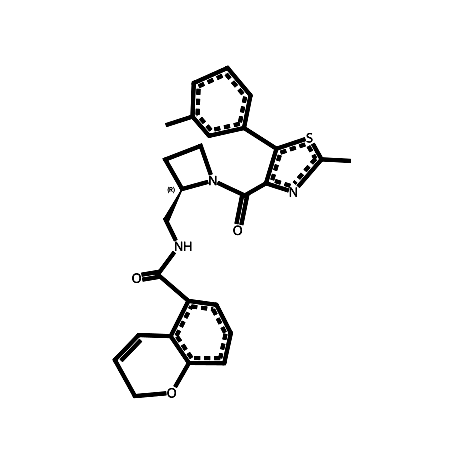 Cc1cccc(-c2sc(C)nc2C(=O)N2CC[C@@H]2CNC(=O)c2cccc3c2C=CCO3)c1